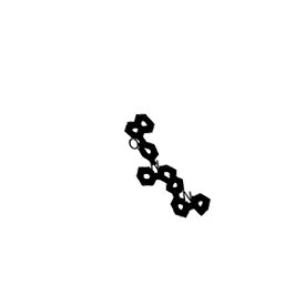 c1ccc2c(c1)ccc1oc3cc(-n4c5ccccc5c5c6cc7c8cccc9c%10ccccc%10n(c7cc6ccc54)c98)ccc3c12